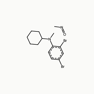 CN(c1ccc(Br)cc1Br)C1CCCCC1.CN=O